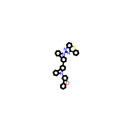 c1ccc2c(c1)Sc1cccc3nc(-n4c5ccccc5c5cc(-c6ccc7c(c6)c6ccccc6n7-c6ccc7oc8ccccc8c7c6)ccc54)nc-2c13